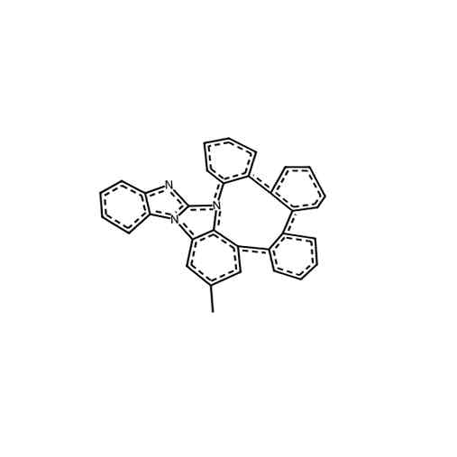 Cc1cc2c3ccccc3c3ccccc3c3ccccc3n3c2c(c1)n1c2ccccc2nc13